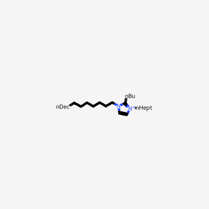 CCCCCCCCCCCCCCCCCn1cc[n+](CCCCCCC)c1CCCC